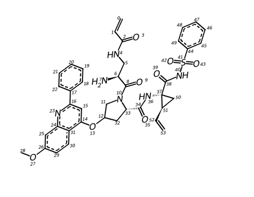 C=CC(=O)NC[C@H](N)C(=O)N1CC(Oc2cc(-c3ccccc3)nc3cc(OC)ccc23)C[C@H]1C(=O)N[C@]1(C(=O)NS(=O)(=O)c2ccccc2)C[C@H]1C=C